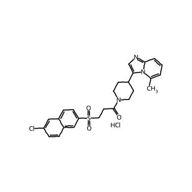 Cc1cccc2ncc(C3CCN(C(=O)CCS(=O)(=O)c4ccc5cc(Cl)ccc5c4)CC3)n12.Cl